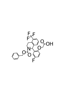 O=C(O)COc1ccc(F)cc1C1c2cccc(C(F)(F)F)c2CCN1C(=O)OCc1ccccc1